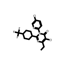 CCc1nc(C2CCC(C(F)(F)F)CC2)n(-c2ccc(Cl)cn2)c(=O)c1Cl